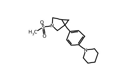 CS(=O)(=O)N1CC2CC2(c2ccc(N3CCCCC3)cc2)C1